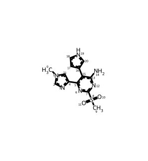 Cn1cnc(-c2nc(S(C)(=O)=O)nc(N)c2-c2cc[nH]c2)c1